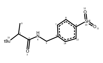 CC(C(=O)NCc1ccc([SH](=O)=O)cc1)C(C)(C)C